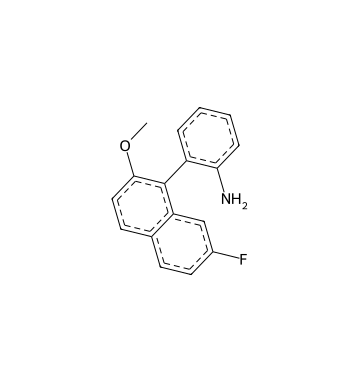 COc1ccc2ccc(F)cc2c1-c1ccccc1N